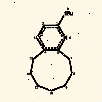 CC(C)(C)c1ccc2c(n1)CCCCCCC2